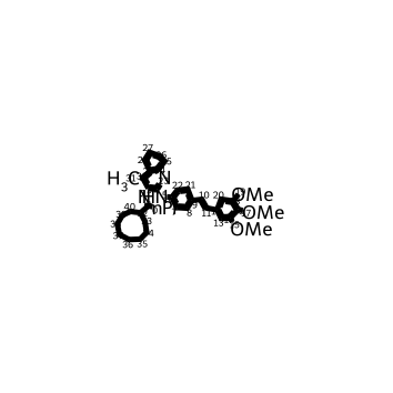 CCC/C(=N\c1c(Nc2ccc(/C=C/c3cc(OC)c(OC)c(OC)c3)cc2)nc2ccccc2c1C)C1CCCCCCCC1